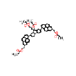 C=CC(=O)OCCCC1(COC(=O)C=C)c2cc(-c3ccc4ccc5cc(CCOC(=O)C=C)cc6ccc3c4c56)ccc2-c2ccc(-c3ccc4ccc5cc(CCOC(=O)C=C)cc6ccc3c4c56)cc21